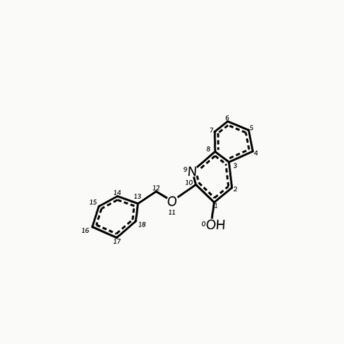 Oc1cc2ccccc2nc1OCc1ccccc1